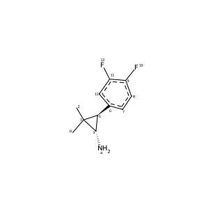 CC1(C)[C@@H](N)[C@@H]1c1ccc(F)c(F)c1